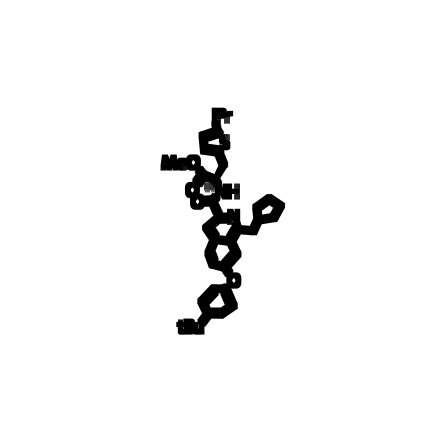 COC(=O)[C@@H](Cc1ccc(C(C)C)s1)NC(=O)c1cc2ccc(Oc3ccc(C(C)(C)C)cc3)cc2c(CC2CCCC2)n1